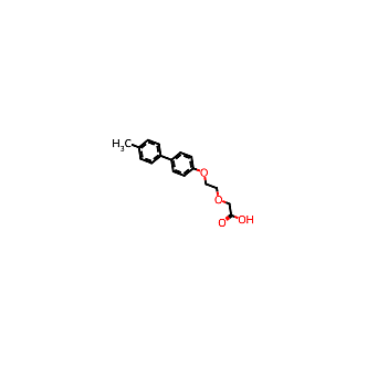 Cc1ccc(-c2ccc(OCCOCC(=O)O)cc2)cc1